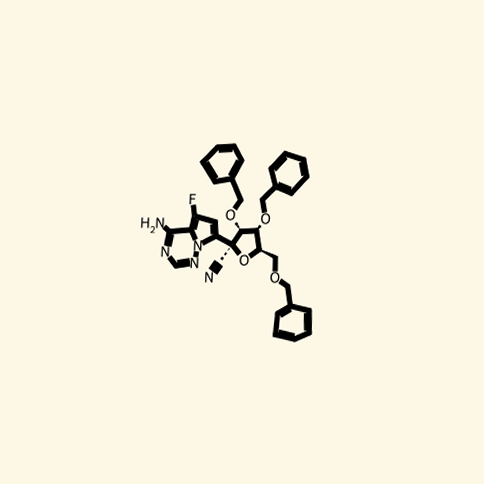 N#C[C@@]1(c2cc(F)c3c(N)ncnn23)O[C@H](COCc2ccccc2)[C@@H](OCc2ccccc2)[C@H]1OCc1ccccc1